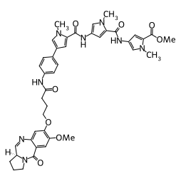 COC(=O)c1cc(NC(=O)c2cc(NC(=O)c3cc(-c4ccc(NC(=O)CCCOc5cc6c(cc5OC)C(=O)N5CCC[C@H]5C=N6)cc4)cn3C)cn2C)cn1C